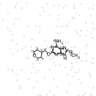 COc1nc2c(N)nc(OCC3CCOCC3)nc2[nH]1